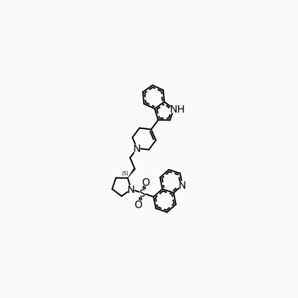 O=S(=O)(c1cccc2ncccc12)N1CCC[C@H]1CCN1CC=C(c2c[nH]c3ccccc23)CC1